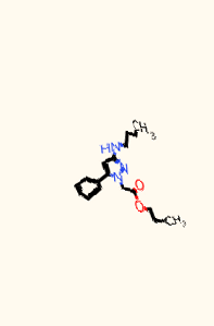 CCCCNc1cc(-c2ccccc2)n(CC(=O)OCCC)n1